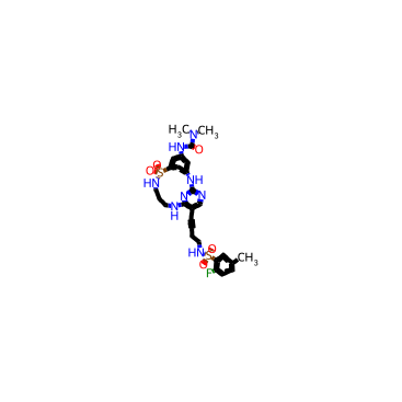 Cc1ccc(F)c(S(=O)(=O)NCCC#Cc2cnc3nc2NCCCNS(=O)(=O)c2cc(NC(=O)N(C)C)cc(c2)N3)c1